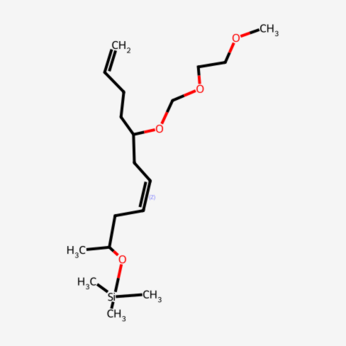 C=CCCC(C/C=C\CC(C)O[Si](C)(C)C)OCOCCOC